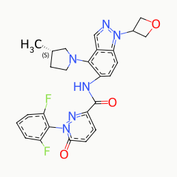 C[C@H]1CCN(c2c(NC(=O)c3ccc(=O)n(-c4c(F)cccc4F)n3)ccc3c2cnn3C2COC2)C1